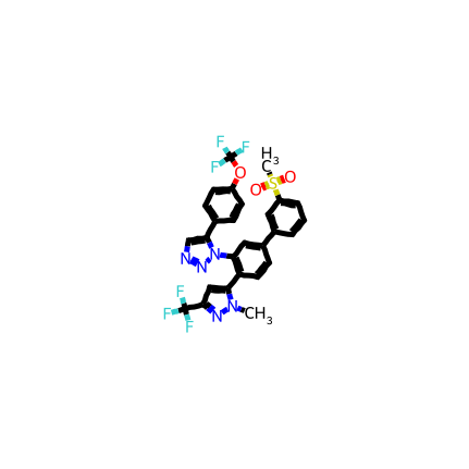 Cn1nc(C(F)(F)F)cc1-c1ccc(-c2cccc(S(C)(=O)=O)c2)cc1-n1nncc1-c1ccc(OC(F)(F)F)cc1